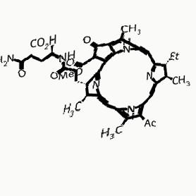 CC[C@H]1c2cc3[nH]c4c(c3C)C(=O)C(C(=O)OC)c4c3nc(cc4[nH]c(cc(n2)[C@@H]1C)c(C(C)=O)c4C)[C@@H](C)[C@@H]3CCC(=O)N[C@@H](CCC(N)=O)C(=O)O